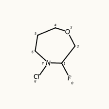 FC1COCCCN1Cl